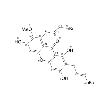 CCCCC=CCc1c(O)cc2oc3cc(O)c(OC)c(C/C=C/CCCC)c3c(=O)c2c1O